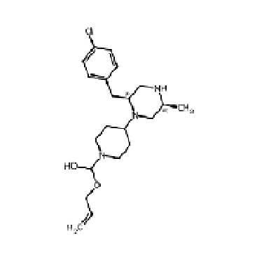 C=CCOC(O)N1CCC(N2C[C@H](C)NC[C@@H]2Cc2ccc(Cl)cc2)CC1